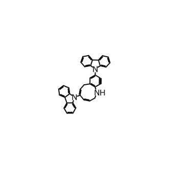 c1c(-n2c3ccccc3c3ccccc32)cc2c(c#1)NC/C=C\C(n1c3ccccc3c3ccccc31)=C/C2